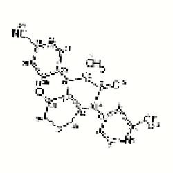 CN1C(=O)N(c2ccnc(C(F)(F)F)c2)C2=C(C(=O)CCC2)C1c1ccc(C#N)cc1